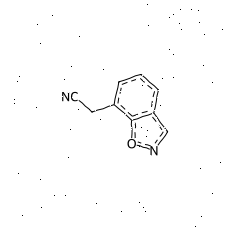 N#CCc1cccc2cnoc12